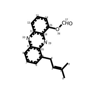 CC(C)=CCc1cccc2nc3cccc(OC=O)c3nc12